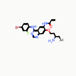 C=CC(=O)Nc1cc2c(Nc3ccc(Br)cc3F)ncnc2cc1OCCC(N)CC(C)=O